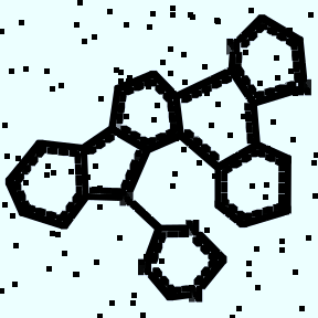 c1ccc2c(c1)c1nccnc1c1ccc3c4ccccc4n(-c4ncncn4)c3c21